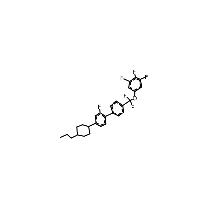 CCCC1CCC(c2ccc(-c3ccc(C(F)(F)Oc4cc(F)c(F)c(F)c4)cc3)c(F)c2)CC1